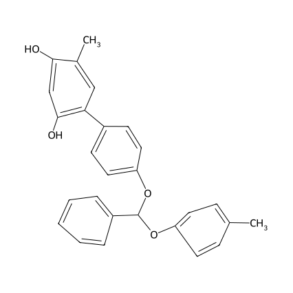 Cc1ccc(OC(Oc2ccc(-c3cc(C)c(O)cc3O)cc2)c2ccccc2)cc1